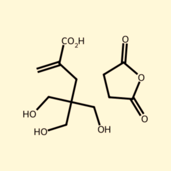 C=C(CC(CO)(CO)CO)C(=O)O.O=C1CCC(=O)O1